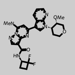 CNc1cc(-c2cn([C@H]3CCOC[C@H]3OC)c3ncccc23)nc2c(C(=O)N[C@@H]3CCC3(F)F)cnn12